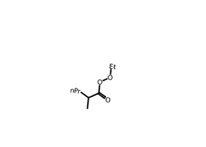 CCCC(C)C(=O)OOCC